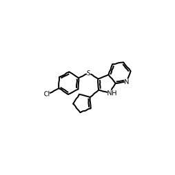 Clc1ccc(Sc2c(C3=CCCC3)[nH]c3ncccc23)cc1